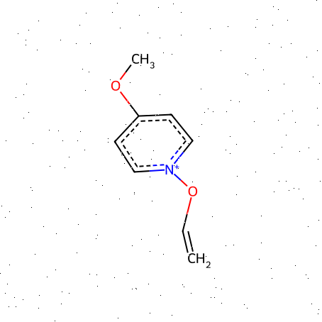 C=CO[n+]1ccc(OC)cc1